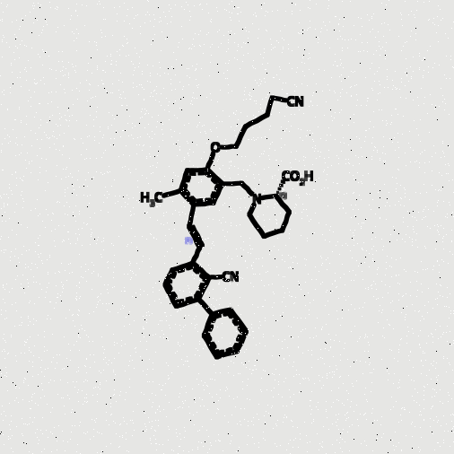 Cc1cc(OCCCCC#N)c(CN2CCCC[C@H]2C(=O)O)cc1/C=C/c1cccc(-c2ccccc2)c1C#N